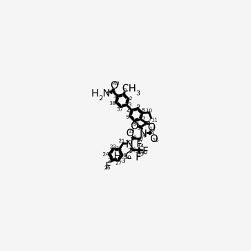 Cc1cc(-c2ccc3c(c2)CC[C@@]32OC(=O)N(CC(=O)N(Cc3ccc(F)cc3)[C@@H](C)C(F)(F)F)C2=O)ccc1C(N)=O